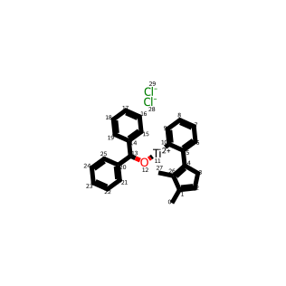 CC1=CCC(c2cccc[c]2[Ti+2][O]C(c2ccccc2)c2ccccc2)=C1C.[Cl-].[Cl-]